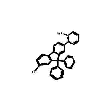 CN1C=CC=CC1c1ccc2c(c1)C(c1ccccc1)(c1ccccc1)c1cc(Cl)ccc1-2